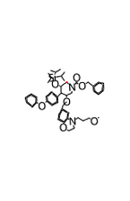 COCCCN1CCOc2ccc(COC3CN(C(=O)OCc4ccccc4)CC(O[Si](C(C)C)(C(C)C)C(C)C)C3c3ccc(Oc4ccccc4)cc3)cc21